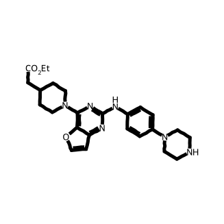 CCOC(=O)CC1CCN(c2nc(Nc3ccc(N4CCNCC4)cc3)nc3ccoc23)CC1